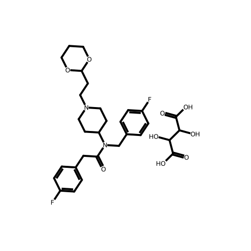 O=C(Cc1ccc(F)cc1)N(Cc1ccc(F)cc1)C1CCN(CCC2OCCCO2)CC1.O=C(O)C(O)C(O)C(=O)O